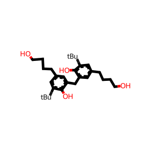 CC(C)(C)c1cc(CCCCO)cc(Cc2cc(CCCCO)cc(C(C)(C)C)c2O)c1O